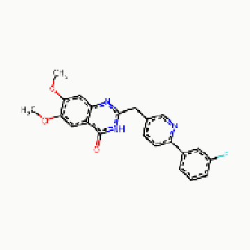 COc1cc2nc(Cc3ccc(-c4cccc(F)c4)nc3)[nH]c(=O)c2cc1OC